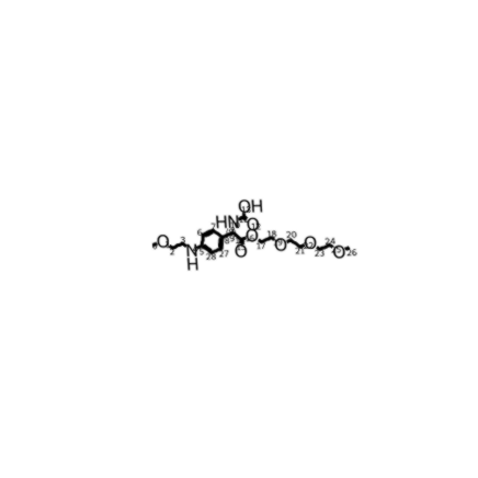 COCCNc1ccc([C@H](NC(=O)O)C(=O)OCCOCCOCCOC)cc1